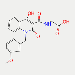 COc1cccc(Cn2c(=O)c(C(=O)NCC(=O)O)c(O)c3ccccc32)c1